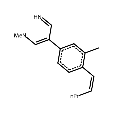 CCC/C=C\c1ccc(/C(C=N)=C/NC)cc1C